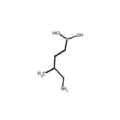 CC(CN)CCB(O)O